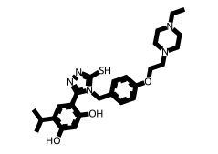 CCN1CCN(CCOc2ccc(Cn3c(S)nnc3-c3cc(C(C)C)c(O)cc3O)cc2)CC1